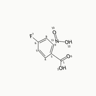 O=C(O)c1ccc(F)cc1.O=NO